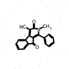 Cn1c(-c2ccccc2)c2c(c(C#N)c1=O)-c1ccccc1C2=O